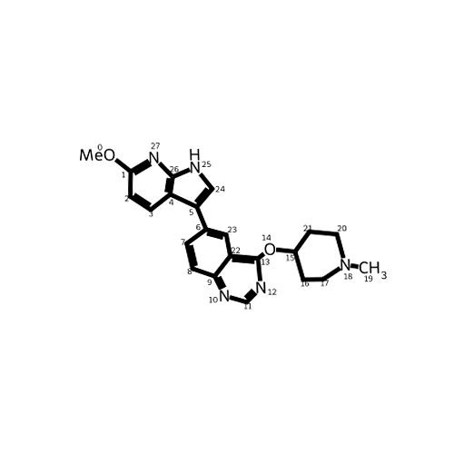 COc1ccc2c(-c3ccc4ncnc(OC5CCN(C)CC5)c4c3)c[nH]c2n1